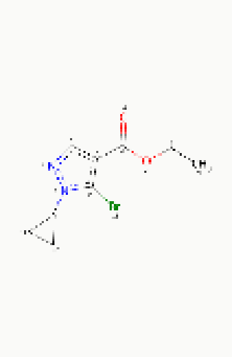 CCOC(=O)c1cnn(C2CC2)c1Br